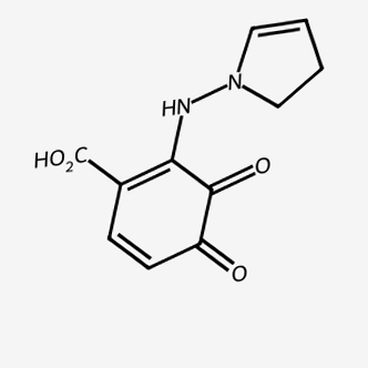 O=C(O)C1=C(NN2C=CCC2)C(=O)C(=O)C=C1